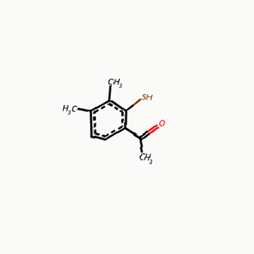 CC(=O)c1ccc(C)c(C)c1S